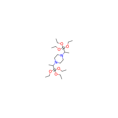 CCO[Si](OCC)(OCC)C(C)N1CCN(C(C)[Si](OCC)(OCC)OCC)CC1